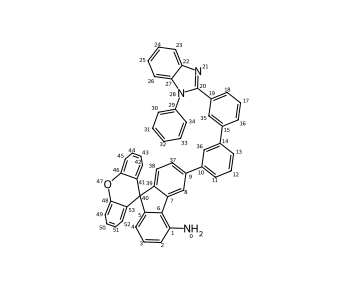 Nc1cccc2c1-c1cc(-c3cccc(-c4cccc(-c5nc6ccccc6n5-c5ccccc5)c4)c3)ccc1C21c2ccccc2Oc2ccccc21